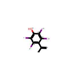 C=C(C)c1c(I)c(I)c(O)c(I)c1I